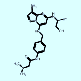 Bc1cnn2c(NCc3ccc(NC(=O)CN(C)C)cc3)cc(N[C@H](CO)C(C)C)nc12